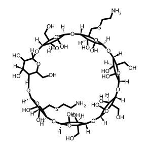 NCCSCC1O[C@@H]2O[C@@H]3C(CO)O[C@@H](O[C@@H]4C(CO)O[C@@H](O[C@@H]5C(CSCCN)O[C@@H](O[C@@H]6C(CO)O[C@H](O[C@@H]7C(CO)O[C@H](O[C@@H]8C(CO)O[C@@H](O[C@H]1[C@H](O)C2O)C(O)[C@H]8O)C(O)[C@H]7O)C(O)[C@H]6O)C(O)[C@H]5O)C(O)[C@H]4O)C(O)[C@H]3O